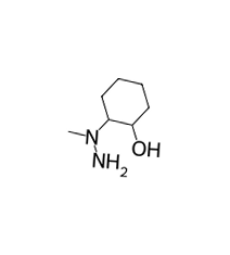 CN(N)C1CCCCC1O